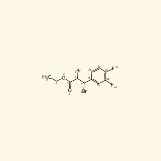 CCOC(=O)C(Br)C(Br)c1ccc(F)c(F)c1